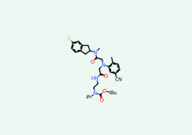 Cc1ccc(C#N)cc1N(CC(=O)NCCN(C(=O)OC(C)(C)C)C(C)C)CC(=O)N(C)C1Cc2ccc(F)cc2C1